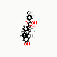 Cc1ccc([C@H](O)[C@H](O)[C@@H](O)[C@H]2CC[C@H]3[C@@H]4CC=C5C[C@@H](O)CC[C@]5(C)[C@H]4CC[C@]23C)cc1